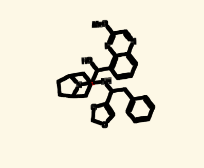 COc1cnc2cccc(C(O)CN3C4CCC3CC(NC(Cc3ccccc3)C3=COCO3)C4)c2n1